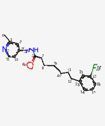 Cc1cc(NC(=O)CCCCCCc2cccc(F)c2)ccn1